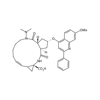 COc1ccc2c(O[C@@H]3C[C@H]4C(=O)N[C@]5(C(=O)O)CC5/C=C\CCCCN(N(C)C)C(=O)[C@@H]4C3)cc(-c3ccccc3)nc2c1